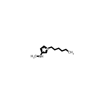 CCCCCCn1ccc(NC)c1